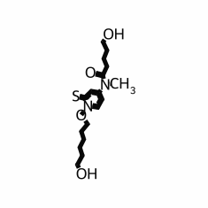 CN(C(=O)CCCCO)c1ccn(OCCCCCCO)c(=S)c1